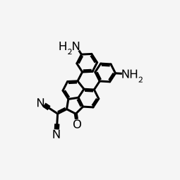 N#CC(C#N)=c1c(=O)c2ccc(-c3cccc(N)c3)c3c(-c4cccc(N)c4)ccc1c32